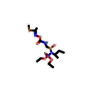 CCOP(=S)(OCC)N(C(C)CC)[S+]([O-])CNC(=O)O/N=C(\C)SC